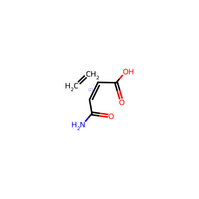 C=C.NC(=O)/C=C\C(=O)O